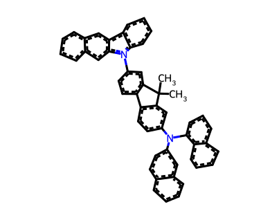 CC1(C)c2cc(N(c3ccc4ccccc4c3)c3cccc4ccccc34)ccc2-c2ccc(-n3c4ccccc4c4cc5ccccc5cc43)cc21